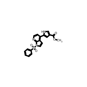 COC(=O)c1c[nH]c(-c2ccnc3c2ccn3S(=O)(=O)c2ccccc2)c1